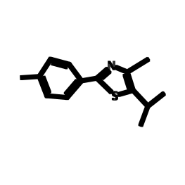 Cc1ccc(-c2nc(C)c(C(C)C)s2)cc1